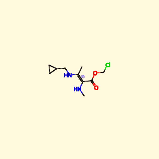 CN/C(C(=O)OCCl)=C(/C)NCC1CC1